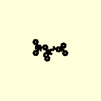 C=c1/c(=C\C=C(/C)c2ccc3c(c2)c2ccccc2n3-c2ccccc2)n(-c2cccc(-c3cc(-c4ccccc4)nc(-c4ccccc4)n3)c2)c2ccc3ccccc3c12